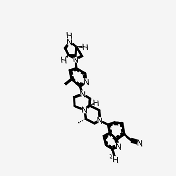 [2H]c1ccc2c(N3C[C@@H]4CN(c5ncc(N6C[C@@H]7C[C@H]6CN7)cc5C)CCN4[C@@H](C)C3)ccc(C#N)c2n1